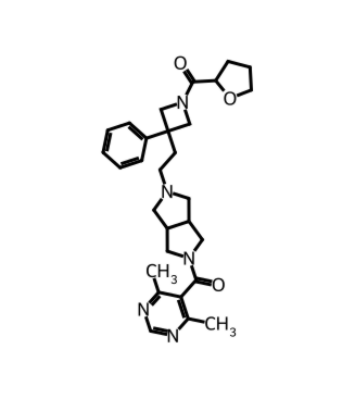 Cc1ncnc(C)c1C(=O)N1CC2CN(CCC3(c4ccccc4)CN(C(=O)C4CCCO4)C3)CC2C1